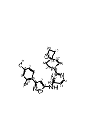 COc1ccc(-c2cc(Nc3ccnc(N4CCC5(CCO5)CC4)n3)on2)c(F)c1